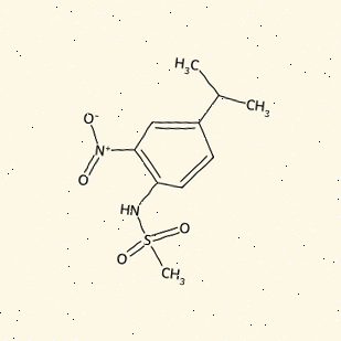 CC(C)c1ccc(NS(C)(=O)=O)c([N+](=O)[O-])c1